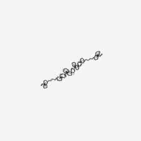 C=CC(=O)OCCCCCCOc1ccc(OC(=O)c2ccc(OC(=O)c3ccc(OCCCCCCOC(=O)C=C)cc3)c(C)c2)cc1